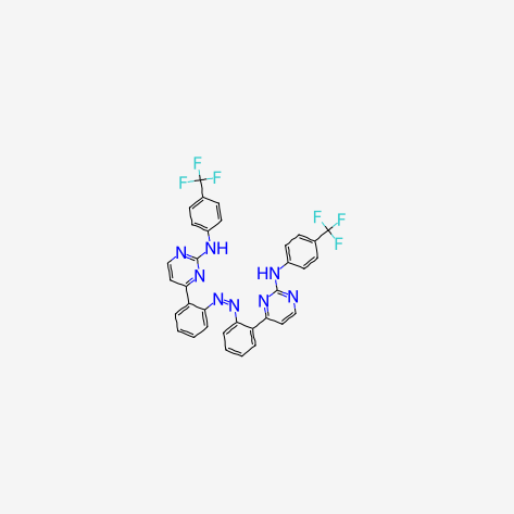 FC(F)(F)c1ccc(Nc2nccc(-c3ccccc3/N=N\c3ccccc3-c3ccnc(Nc4ccc(C(F)(F)F)cc4)n3)n2)cc1